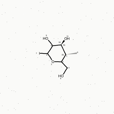 C[C@@H]1C(CO)OC(I)C(O)[C@H]1O